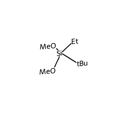 CC[Si](OC)(OC)C(C)(C)C